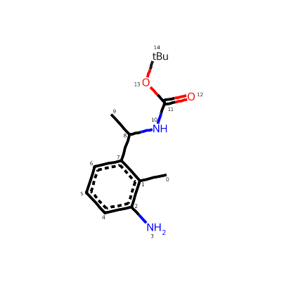 Cc1c(N)cccc1C(C)NC(=O)OC(C)(C)C